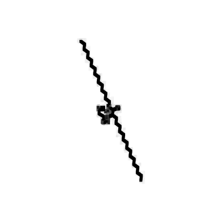 CCCCCCCCCCCCCCCCNC(=O)C(=O)CCCCCCCCCCCCCCCC.NCCO